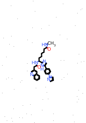 CNC(=O)CCCCCC(NC(=O)Cc1cnc2ccccc2c1)c1ncc(-c2ccc(-n3cccn3)cc2)[nH]1